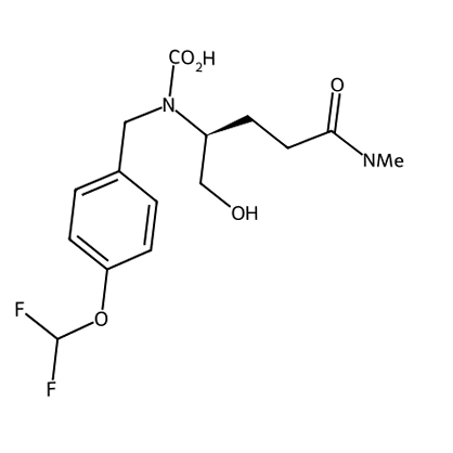 CNC(=O)CC[C@@H](CO)N(Cc1ccc(OC(F)F)cc1)C(=O)O